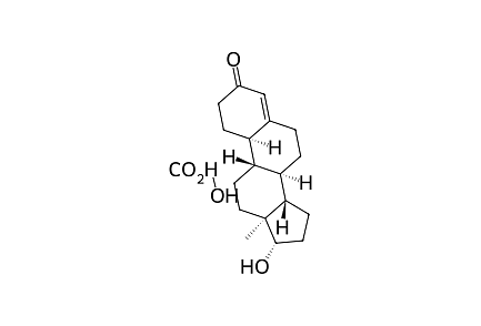 C[C@]12CC[C@H]3[C@@H](CCC4=CC(=O)CC[C@@H]43)[C@@H]1CC[C@@H]2O.O=C(O)O